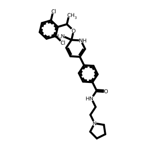 CC(OC1(N)C=CC(c2ccc(C(=O)NCCN3CCCC3)cc2)=CN1)c1c(Cl)cccc1Cl